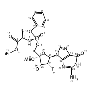 CO[C@]1(CO[P@](=O)(N[C@H](C)C(=O)OC(C)C)Oc2ccccc2)O[C@@H](n2cnc3c(=O)[nH]c(N)nc32)[C@H](F)[C@@H]1O